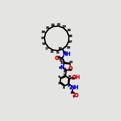 O=CNc1cccc(-c2nc(C(=O)NC3CCCCCCCCCCCCCC3)co2)c1O